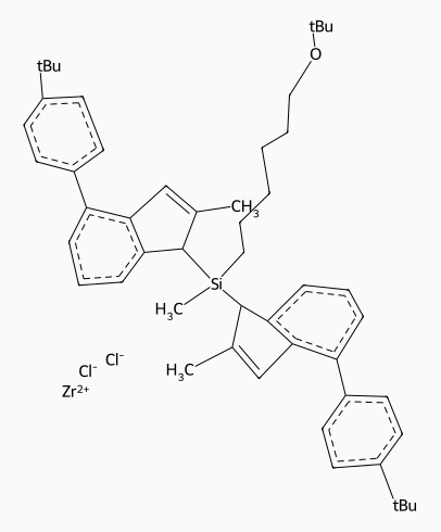 CC1=Cc2c(-c3ccc(C(C)(C)C)cc3)cccc2C1[Si](C)(CCCCCCOC(C)(C)C)C1C(C)=Cc2c(-c3ccc(C(C)(C)C)cc3)cccc21.[Cl-].[Cl-].[Zr+2]